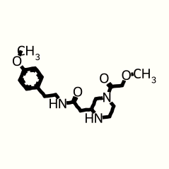 COCC(=O)N1CCNC(CC(=O)NCCc2ccc(OC)cc2)C1